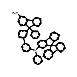 COc1ccc2c(c1)-c1ccccc1C2(c1ccccc1)c1cccc(-c2cccc(N(c3ccccc3)c3ccc4c(c3)C3(c5ccccc5-c5ccccc53)c3ccccc3-4)c2)c1